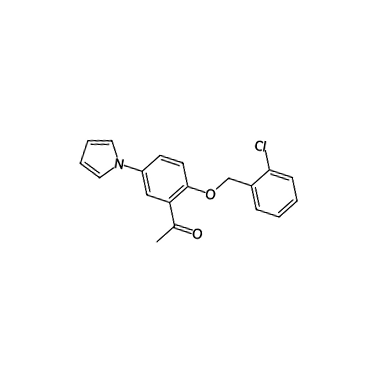 CC(=O)c1cc(-n2cccc2)ccc1OCc1ccccc1Cl